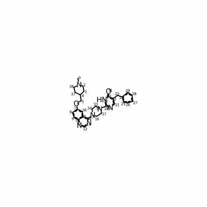 CN1CCC(COc2ccc3ncnc(N4CCN(c5ncc(Cc6ccccc6)c(=O)[nH]5)CC4)c3c2)CC1